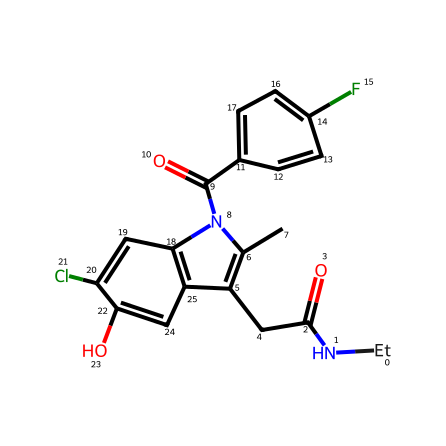 CCNC(=O)Cc1c(C)n(C(=O)c2ccc(F)cc2)c2cc(Cl)c(O)cc12